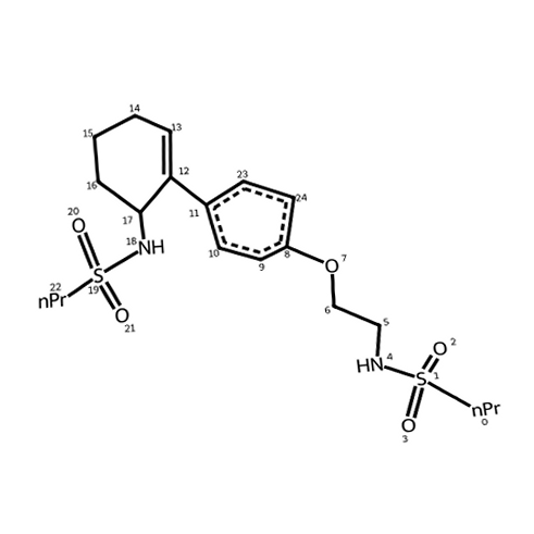 CCCS(=O)(=O)NCCOc1ccc(C2=CCCCC2NS(=O)(=O)CCC)cc1